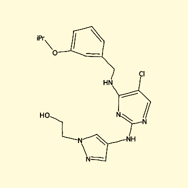 CC(C)Oc1cccc(CNc2nc(Nc3cnn(CCO)c3)ncc2Cl)c1